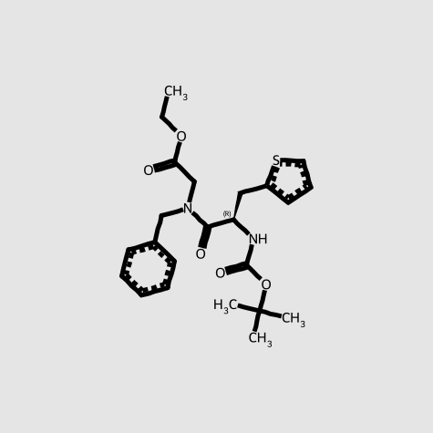 CCOC(=O)CN(Cc1ccccc1)C(=O)[C@@H](Cc1cccs1)NC(=O)OC(C)(C)C